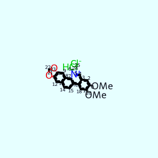 COc1cc2c[n+](C)c3c4cc5c(cc4ccc3c2cc1OC)OCO5.Cl.[Cl-]